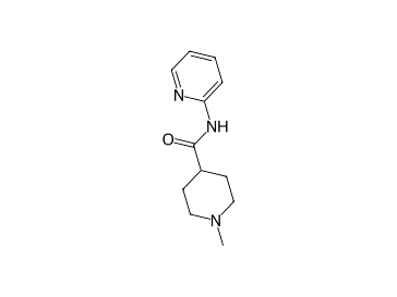 CN1CCC(C(=O)Nc2ccccn2)CC1